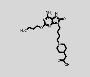 CCCCOc1nc(N)c2[nH]c(=O)n(CCCCN3CCC(CC(=O)O)CC3)c2n1